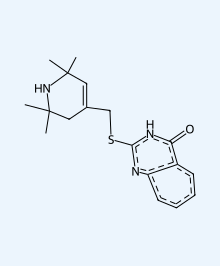 CC1(C)C=C(CSc2nc3ccccc3c(=O)[nH]2)CC(C)(C)N1